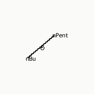 CCCCC=CCC=CCCCCCCCCC(=O)CCCCCCCC=CCC=CCCCCC